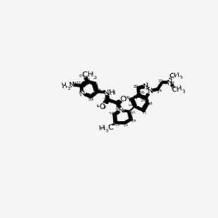 Cc1cc(NC(=O)C(=O)N2C[C@@H](C)CC[C@@H]2c2ccc3c(cnn3CCN(C)C)c2)cnc1N